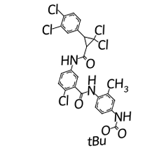 Cc1cc(NC(=O)OC(C)(C)C)ccc1NC(=O)c1cc(NC(=O)C2C(c3ccc(Cl)c(Cl)c3)C2(Cl)Cl)ccc1Cl